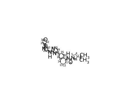 CC(C)C1CCN(C(=O)NC2CCCCc3cc(-c4ccnc(Nc5cnn([C@H]6CCOC6)c5)n4)ccc32)C1